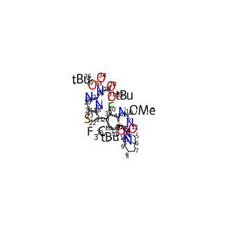 COc1nc(N2CC3CCC(C2)N3C(=O)OC(C)(C)C)c2cc(C(F)(F)F)c(-c3csc4cnc(N(C(=O)OC(C)(C)C)C(=O)OC(C)(C)C)nc34)c(F)c2n1